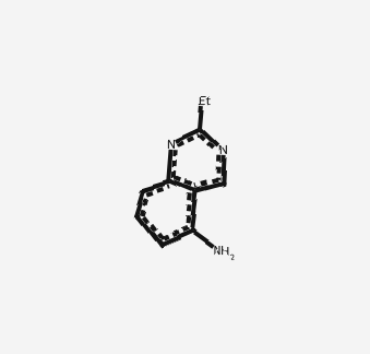 CCc1ncc2c(N)cccc2n1